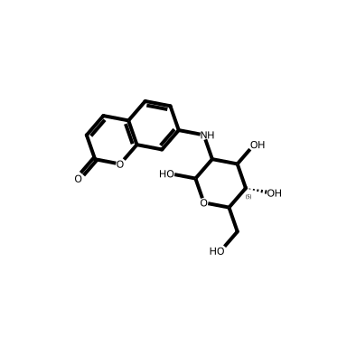 O=c1ccc2ccc(NC3C(O)OC(CO)[C@@H](O)C3O)cc2o1